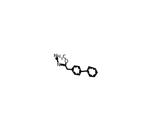 COC(Cc1ccc(-c2ccccc2)cc1)=NC#N